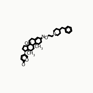 C[C@]12CCC(=NOCCN3CCC(Cc4ccccc4)CC3)C=C1CCC1C2CC[C@]2(C)[C@@H](c3ccc(=O)oc3)CC[C@]12O